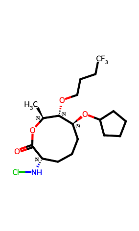 C[C@@H]1OC(=O)[C@@H](NCl)CCC[C@H](OC2CCCC2)[C@H]1OCCCC(F)(F)F